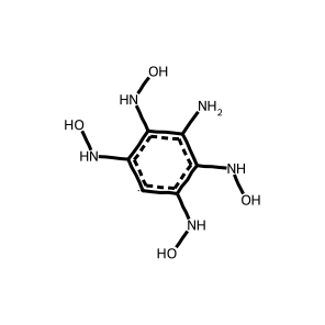 Nc1c(NO)c(NO)[c]c(NO)c1NO